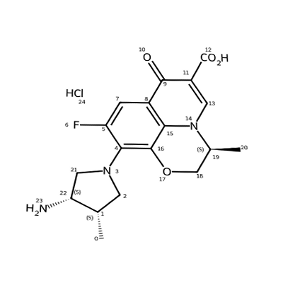 C[C@H]1CN(c2c(F)cc3c(=O)c(C(=O)O)cn4c3c2OC[C@@H]4C)C[C@H]1N.Cl